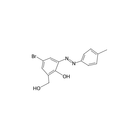 Cc1ccc(N=Nc2cc(Br)cc(CO)c2O)cc1